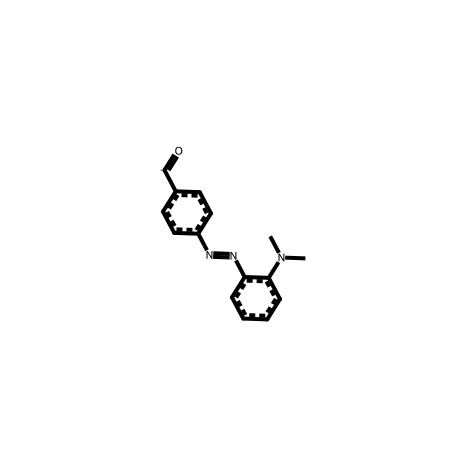 CN(C)c1ccccc1N=Nc1ccc([C]=O)cc1